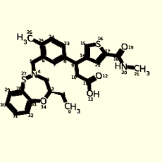 CC[C@@H]1CN(Cc2cc(C(CC(=O)O)c3csc(C(=O)NC)c3)ccc2C)Sc2ccccc2O1